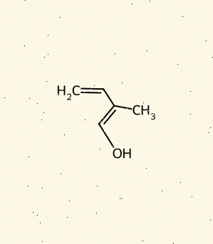 C=CC(C)=CO